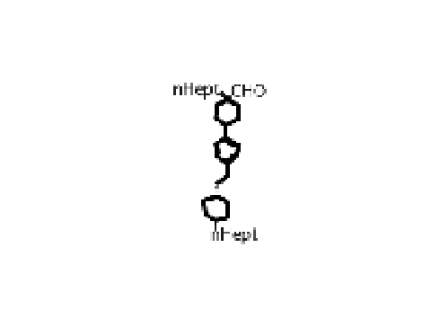 CCCCCCCC1(C=O)CCC(c2ccc(CC[C@H]3CC[C@H](CCCCCCC)CC3)cc2)CC1